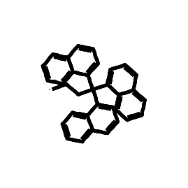 [CH2]CCC(c1cccc2ccccc12)(c1cccc2ccccc12)c1cccc2ccccc12